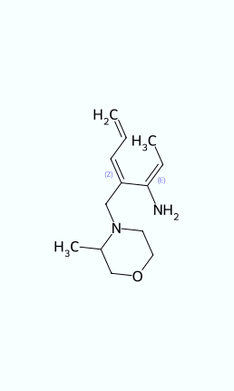 C=C/C=C(CN1CCOCC1C)\C(N)=C/C